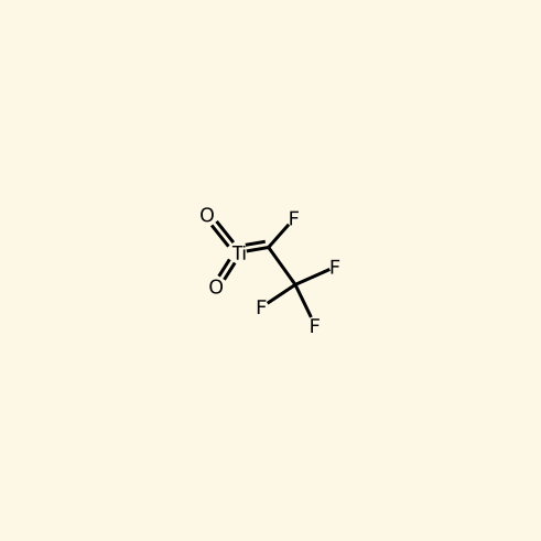 [O]=[Ti](=[O])=[C](F)C(F)(F)F